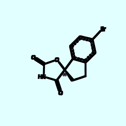 O=C1NC(=O)[C@]2(CCc3cc(Br)ccc32)O1